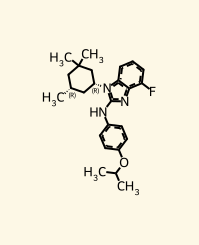 CC(C)Oc1ccc(Nc2nc3c(F)cccc3n2[C@@H]2C[C@H](C)CC(C)(C)C2)cc1